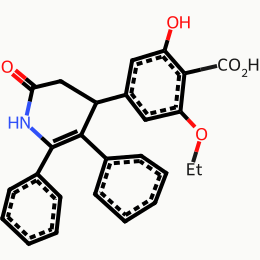 CCOc1cc(C2CC(=O)NC(c3ccccc3)=C2c2ccccc2)cc(O)c1C(=O)O